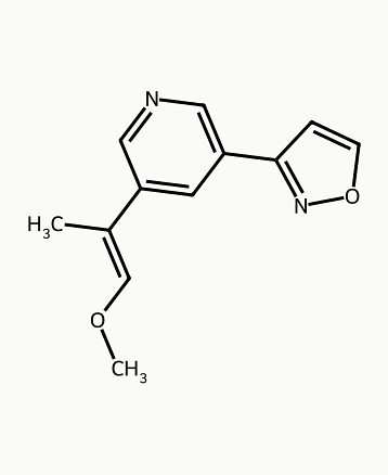 COC=C(C)c1cncc(-c2ccon2)c1